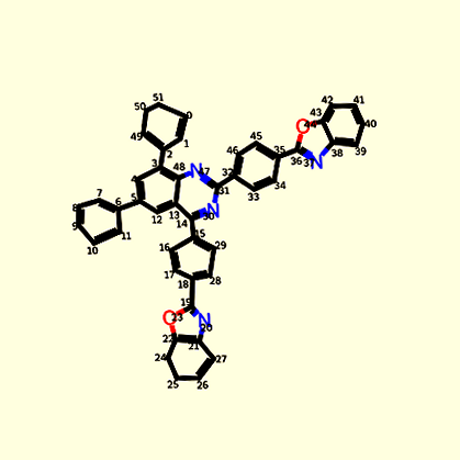 C1=CC(c2cc(-c3ccccc3)cc3c(-c4ccc(-c5nc6c(o5)CCC=C6)cc4)nc(-c4ccc(-c5nc6ccccc6o5)cc4)nc23)=CCC1